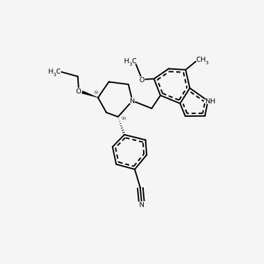 CCO[C@H]1CCN(Cc2c(OC)cc(C)c3[nH]ccc23)[C@H](c2ccc(C#N)cc2)C1